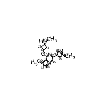 CNC1CC(Oc2nc(-c3cnn(C)c3)cn3ncc(C)c23)C1